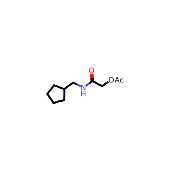 CC(=O)OCC(=O)NCC1CCCC1